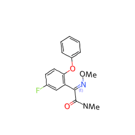 CNC(=O)/C(=N/OC)c1cc(F)ccc1Oc1ccccc1